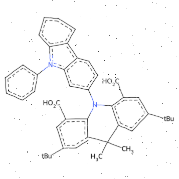 CC(C)(C)c1cc(C(=O)O)c2c(c1)C(C)(C)c1cc(C(C)(C)C)cc(C(=O)O)c1N2c1ccc2c3ccccc3n(-c3ccccc3)c2c1